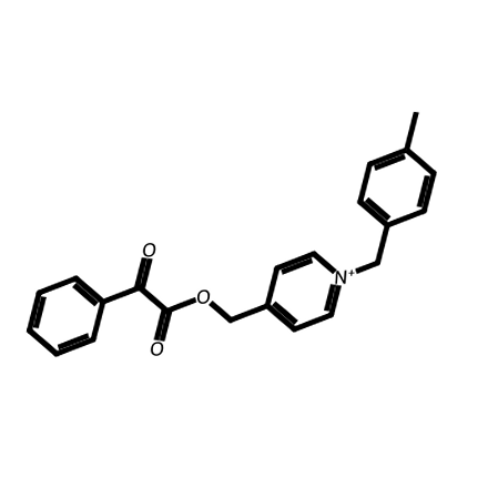 Cc1ccc(C[n+]2ccc(COC(=O)C(=O)c3ccccc3)cc2)cc1